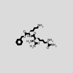 NCCCC[C@H](NC(=O)[C@H](CCCCN(N)C(N)=O)N(N)C(N)=O)C(=O)OCc1ccccc1